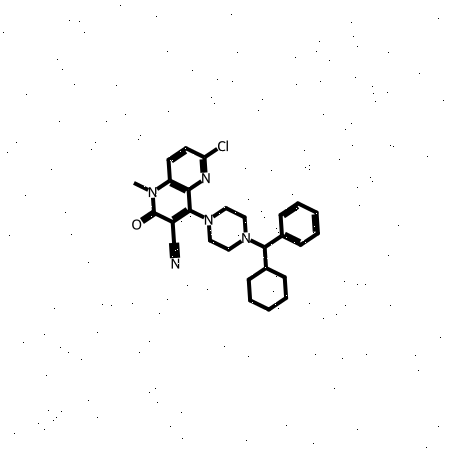 Cn1c(=O)c(C#N)c(N2CCN(C(c3ccccc3)C3CCCCC3)CC2)c2nc(Cl)ccc21